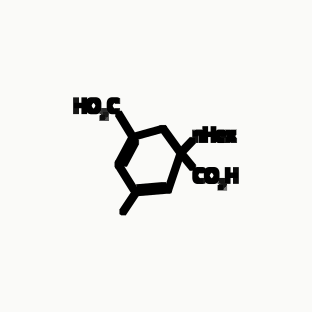 CCCCCCC1(C(=O)O)C=C(C)C=C(C(=O)O)C1